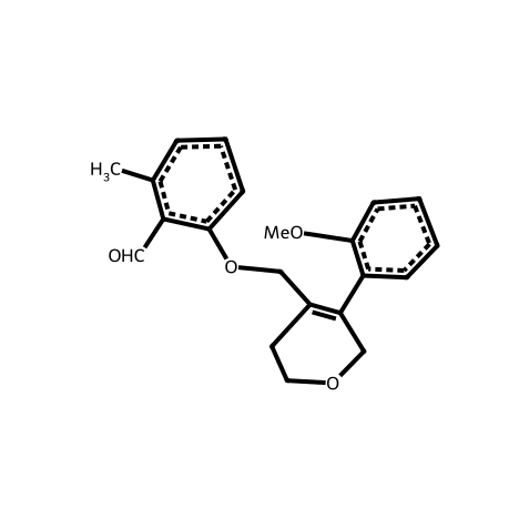 COc1ccccc1C1=C(COc2cccc(C)c2C=O)CCOC1